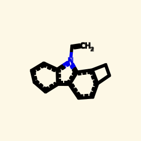 C=Cn1c2ccccc2c2ccc3c(c21)CC3